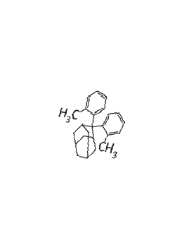 Cc1ccccc1C1(c2ccccc2C)C2CC3CC(C2)CC1C3